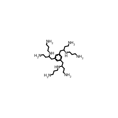 NCCCNC(CCN)Cc1cc(CC(CCN)NCCCN)cc(CC(CCN)NCCCN)c1